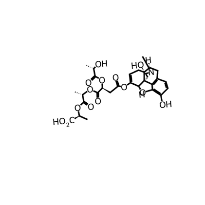 C[C@H](O)C(=O)O[C@@H](CC(=O)OC1=CC[C@@]2(O)[C@H]3Cc4ccc(O)c5c4[C@@]2(CCN3C)[C@H]1O5)C(=O)O[C@@H](C)C(=O)O[C@@H](C)C(=O)O